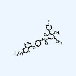 CCn1cc(C(=O)Nc2ccc(Oc3ccnc4cc(OC)cnc34)cc2)c(=O)c(-c2ccc(F)cc2)c1C